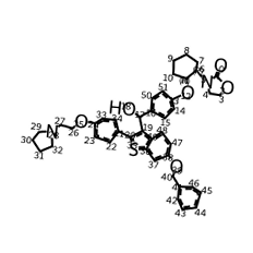 O=C1OCCN1[C@@H]1CCCC[C@H]1Oc1ccc(C(O)c2c(-c3ccc(OCCN4CCCC4)cc3)sc3cc(OCc4ccccc4)ccc23)cc1